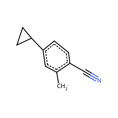 [CH2]c1cc(C2CC2)ccc1C#N